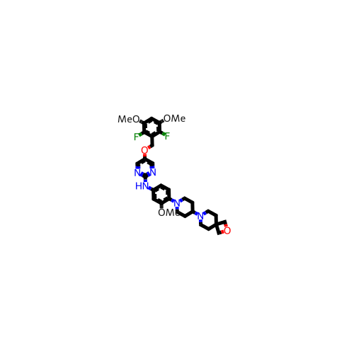 COc1cc(Nc2ncc(OCc3c(F)c(OC)cc(OC)c3F)cn2)ccc1N1CCC(N2CCC3(CC2)COC3)CC1